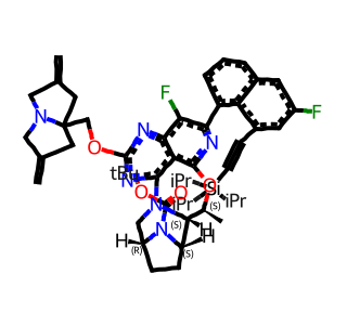 C=C1CN2CC(=C)CC2(COc2nc3c4c(nc(-c5cccc6cc(F)cc(C#C[Si](C(C)C)(C(C)C)C(C)C)c56)c(F)c4n2)O[C@@H](C)[C@@H]2[C@@H]4CC[C@H](CN32)N4C(=O)OC(C)(C)C)C1